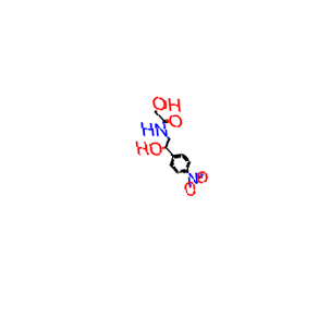 O=C(CO)NCC(O)c1ccc([N+](=O)[O-])cc1